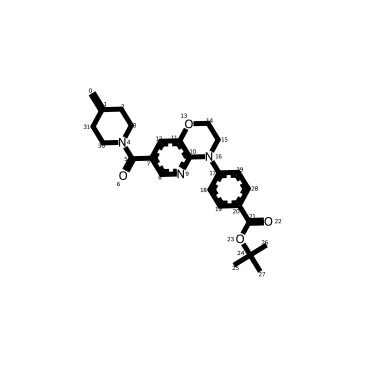 C=C1CCN(C(=O)c2cnc3c(c2)OCCN3c2ccc(C(=O)OC(C)(C)C)cc2)CC1